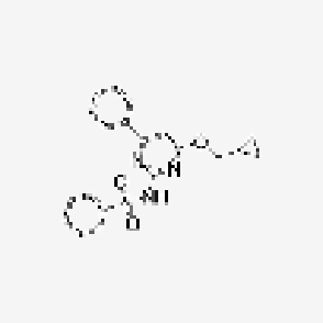 O=S(=O)(Nc1nc(OCC2CC2)cc(-c2ccccc2)n1)c1ccccc1